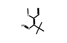 C=C/C(OC)=C(/N=N)C(C)(C)C